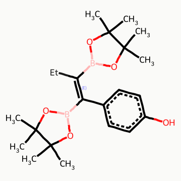 CC/C(B1OC(C)(C)C(C)(C)O1)=C(\B1OC(C)(C)C(C)(C)O1)c1ccc(O)cc1